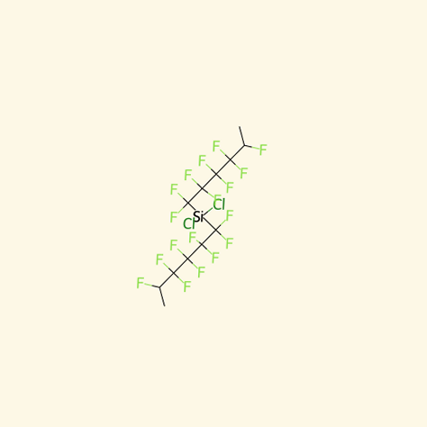 CC(F)C(F)(F)C(F)(F)C(F)(F)C(F)(F)[Si](Cl)(Cl)C(F)(F)C(F)(F)C(F)(F)C(F)(F)C(C)F